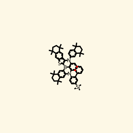 Cc1cc2c3c(c1)N(c1ccc4c(c1)C(C)(C)CCC4(C)C)c1c(sc4cc5c(cc14)C(C)(C)CCC5(C)C)B3c1cc3c(cc1N2c1ccc([Si](C)(C)C)cc1-c1ccccc1)C(C)(C)CCC3(C)C